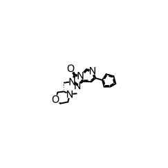 CN1CCOC[C@@H]1Cn1nc2cc(-c3ccccc3)ncn2c1=O